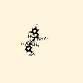 CC(=O)N[C@@H](Cc1cc(F)cc(F)c1)[C@H](O)CNC(C)(C)c1cccc(CC(C)C)c1